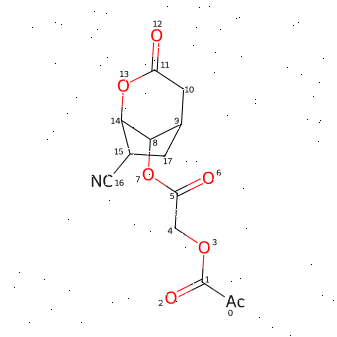 CC(=O)C(=O)OCC(=O)OC1C2CC(=O)OC1C(C#N)C2